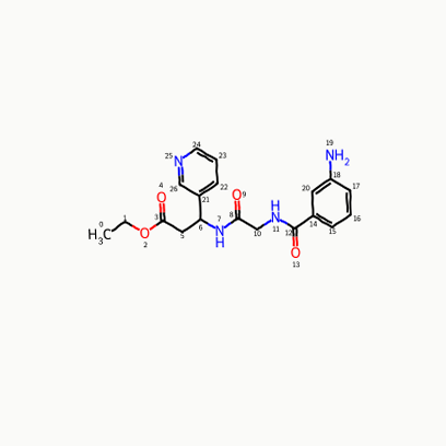 CCOC(=O)CC(NC(=O)CNC(=O)c1cccc(N)c1)c1cccnc1